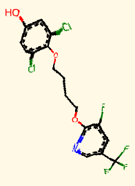 Oc1cc(Cl)c(OCCCCOc2ncc(C(F)(F)F)cc2F)c(Cl)c1